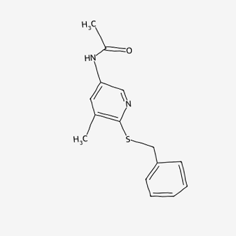 CC(=O)Nc1cnc(SCc2ccccc2)c(C)c1